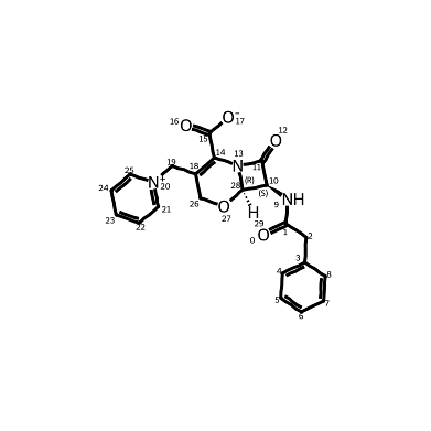 O=C(Cc1ccccc1)N[C@@H]1C(=O)N2C(C(=O)[O-])=C(C[n+]3ccccc3)CO[C@H]12